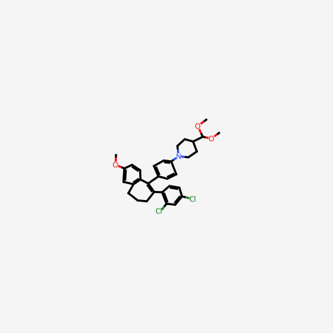 COc1ccc2c(c1)CCCC(c1ccc(Cl)cc1Cl)=C2c1ccc(N2CCC(C(OC)OC)CC2)cc1